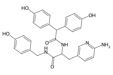 Nc1ccc(CC(NC(=O)C(c2ccc(O)cc2)c2ccc(O)cc2)C(=O)NCc2ccc(O)cc2)cn1